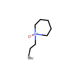 CC(C)(C)CC[N+]1([O-])CCCCC1